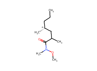 CCC[C@@H](C)CC(C)C(=O)N(C)OC